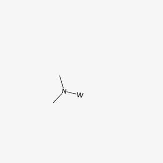 C[N](C)[W]